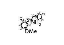 COc1ccc(F)c(S[C@H](N)CN2CCCC2)c1